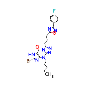 CCCCCn1c2nc(Br)[nH]c2c(=O)n2c(CCCc3nc(-c4ccc(F)cc4)no3)nnc12